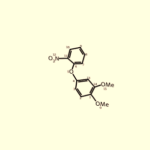 COc1ccc(Oc2ccccc2[N+](=O)[O-])cc1OC